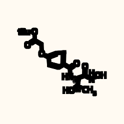 C[C@@H](O)[C@H](NC(=O)c1ccc(OCC(=O)OC(C)(C)C)cc1)C(=O)NO